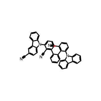 N#Cc1ccc2c(c1)c1ccccc1n2-c1cccc(-c2ccccc2-c2c(C#N)cccc2-n2c3ccccc3c3ccccc32)c1C#N